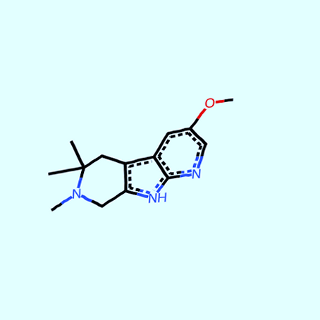 COc1cnc2[nH]c3c(c2c1)CC(C)(C)N(C)C3